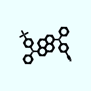 C[Si](C)(C)c1ccc(N(c2ccccc2)c2ccc3ccc4c(N(c5ccccc5)c5ccc(C#N)cc5)ccc5ccc2c3c54)cc1